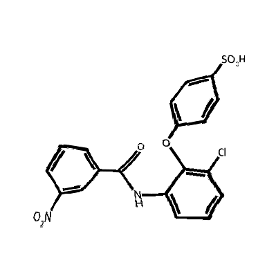 O=C(Nc1cccc(Cl)c1Oc1ccc(S(=O)(=O)O)cc1)c1cccc([N+](=O)[O-])c1